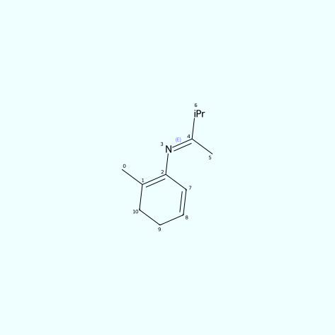 CC1=C(/N=C(\C)C(C)C)C=CCC1